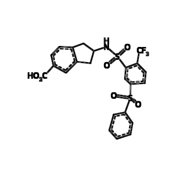 O=C(O)c1ccc2c(c1)CC(NS(=O)(=O)c1cc(S(=O)(=O)c3ccccc3)ccc1C(F)(F)F)C2